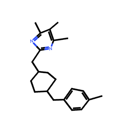 Cc1ccc(CC2CCC(Cc3nc(C)c(C)c(C)n3)CC2)cc1